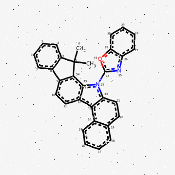 CC1(C)c2ccccc2-c2ccc3c4c5ccccc5ccc4n(-c4nc5ccccc5o4)c3c21